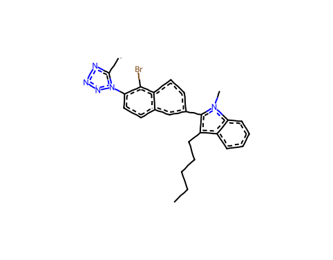 [CH2]c1nnnn1-c1ccc2cc(-c3c(CCCCC)c4ccccc4n3C)ccc2c1Br